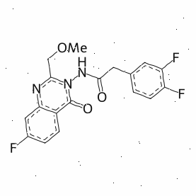 COCc1nc2cc(F)ccc2c(=O)n1NC(=O)Cc1ccc(F)c(F)c1